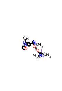 C#Cc1nn(C2CCCCO2)c2ccc(-c3cnn(C)c3OCCOCc3c(I)c(C)nn3C)cc12